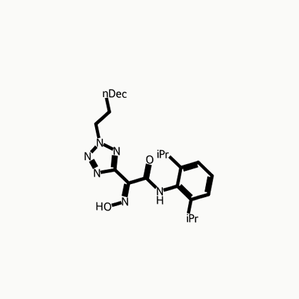 CCCCCCCCCCCCn1nnc(C(=NO)C(=O)Nc2c(C(C)C)cccc2C(C)C)n1